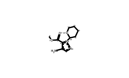 COC(=O)c1c(N)cnn1C1CCCCO1